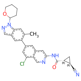 Cc1cc2c(cnn2C2CCCCO2)cc1-c1cc(Cl)c2cnc(NC(=O)[C@@H]3C[C@H]3C#N)cc2c1